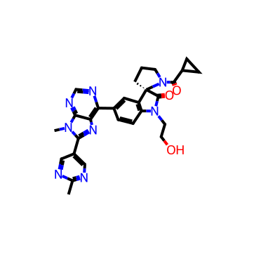 Cc1ncc(-c2nc3c(-c4ccc5c(c4)[C@]4(CCCN4C(=O)C4CC4)C(=O)N5CCO)ncnc3n2C)cn1